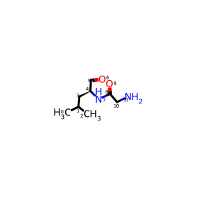 CC(C)C[C@@H](C=O)NC(=O)CN